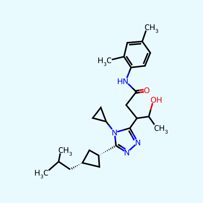 Cc1ccc(NC(=O)CC(c2nnc([C@H]3C[C@@H](CC(C)C)C3)n2C2CC2)C(C)O)c(C)c1